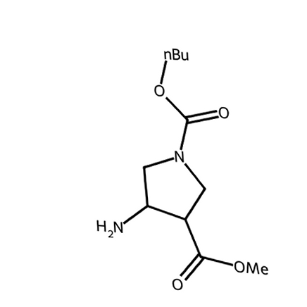 CCCCOC(=O)N1CC(N)C(C(=O)OC)C1